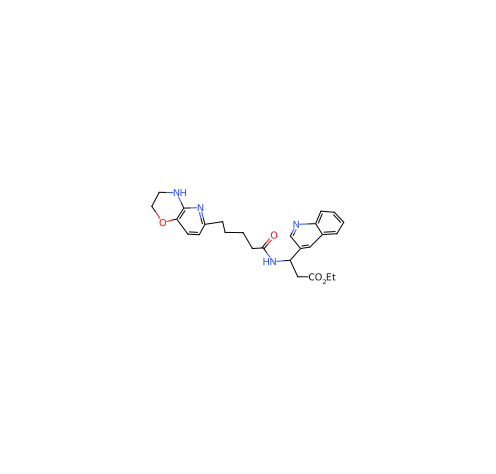 CCOC(=O)CC(NC(=O)CCCCc1ccc2c(n1)NCCO2)c1cnc2ccccc2c1